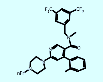 CCCN1CCN(c2cc(-c3ccccc3C)c(C(=O)N(C)Cc3cc(C(F)(F)F)cc(C(F)(F)F)c3)cn2)CC1